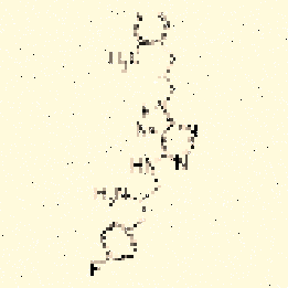 [CH2]c1ccccc1C[CH]Cn1cnc2c(NCC(N)Cc3ccc(F)cc3)ncnc21